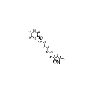 Cc1cc(CCCCCCCOc2ccccc2)on1